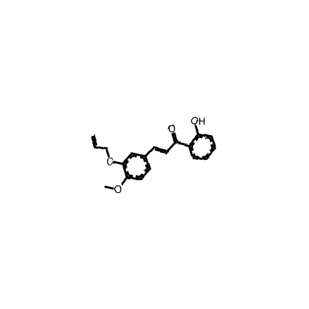 C=CCOc1cc(/C=C/C(=O)c2ccccc2O)ccc1OC